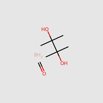 B.C=O.CC(C)(O)C(C)(C)O